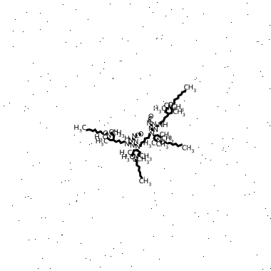 CCCCCCCCON1C(C)(C)CC(CCCCNc2nc(N=C=O)nc(N(CCCCCCN(c3nc(N=C=O)nc(NCCCCC4CC(C)(C)N(OCCCCCCCC)C(C)(C)C4)n3)C3CC(C)(C)N(OCCCCCCCC)C(C)(C)C3)C3CC(C)(C)N(OCCCCCCCC)C(C)(C)C3)n2)CC1(C)C